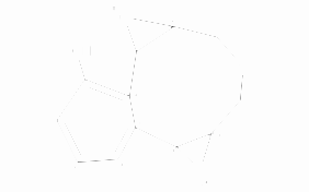 Cc1cccc2c1C1OC1COCC1OC21